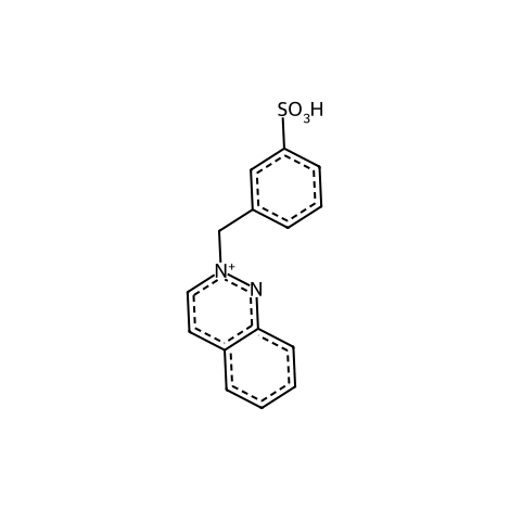 O=S(=O)(O)c1cccc(C[n+]2ccc3ccccc3n2)c1